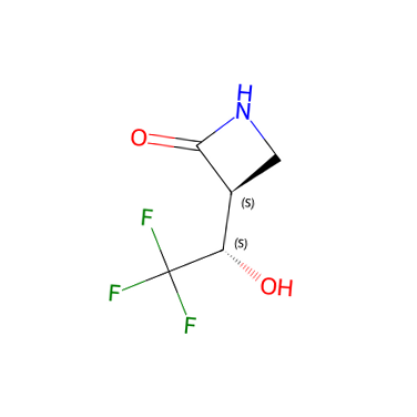 O=C1NC[C@H]1[C@H](O)C(F)(F)F